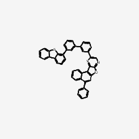 c1ccc(-c2cc3oc4ncc(-c5cccc(-c6cccc(-c7cccc8c7sc7ccccc78)c6)c5)nc4c3c3ccccc23)cc1